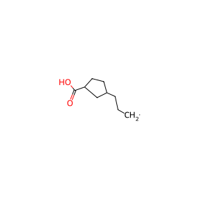 [CH2]CCC1CCC(C(=O)O)C1